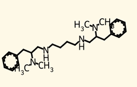 CN(C)C(CNCCCCNCC(Cc1ccccc1)N(C)C)Cc1ccccc1